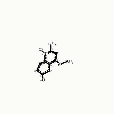 COc1cc(C)[n+]([O-])c2ccc(Cl)cc12